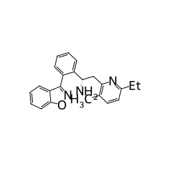 CCc1ccc(C)c(C[C@H](N)c2ccccc2-c2noc3ccccc23)n1